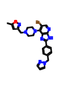 Cc1cc(CN2CCN(c3c(Br)cnc4[nH]c(-c5ccc(Cn6cccn6)cc5)nc34)CC2)no1